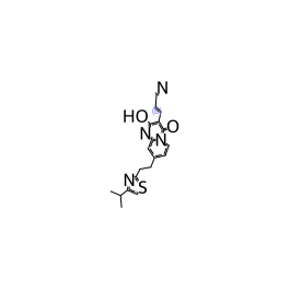 CC(C)c1csc(CCc2ccn3c(=O)c(/C=C/C#N)c(O)nc3c2)n1